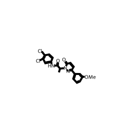 COc1cccc(-c2ccc(=O)n(C(C)C(=O)Nc3ccc(Cl)c(Cl)c3)n2)c1